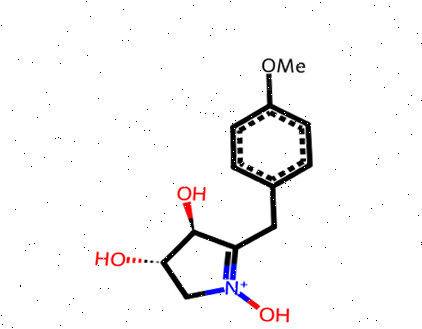 COc1ccc(CC2=[N+](O)C[C@H](O)[C@H]2O)cc1